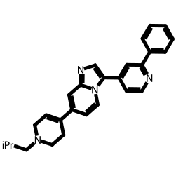 CC(C)CN1CC=C(c2ccn3c(-c4ccnc(-c5ccccc5)c4)cnc3c2)CC1